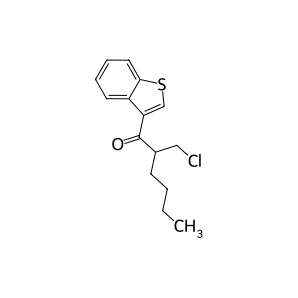 CCCCC(CCl)C(=O)c1csc2ccccc12